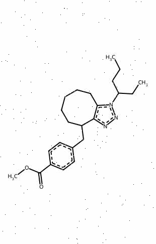 CCCC(CC)n1nnc2c1CCCCCC2Cc1ccc(C(=O)OC)cc1